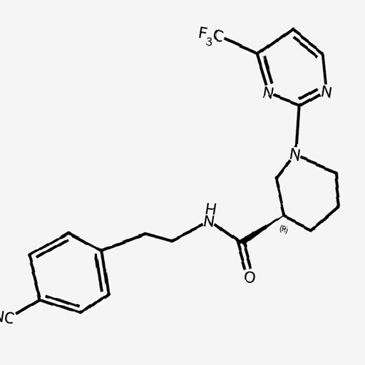 N#Cc1ccc(CCNC(=O)[C@@H]2CCCN(c3nccc(C(F)(F)F)n3)C2)cc1